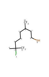 CC(F)(CCCC(CCS)C(F)(F)F)C(F)(F)F